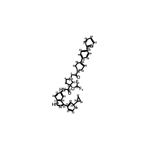 O=C(CN1CCC(OC(F)F)(C(=O)Nc2ccc3[nH]nc(-c4ccnc(C5CC5)c4)c3c2)C1)N1CC=C(c2ccc(-c3ncccn3)cc2)CC1